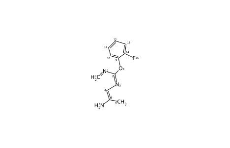 C=N/C(=N\C=C(/C)N)Oc1ccccc1F